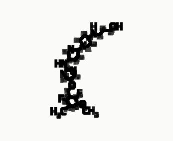 COc1cc(C)c(F)c(COc2cnc(Nc3ccc(N4CCC(NCCCO)CC4)nc3)nc2)c1F